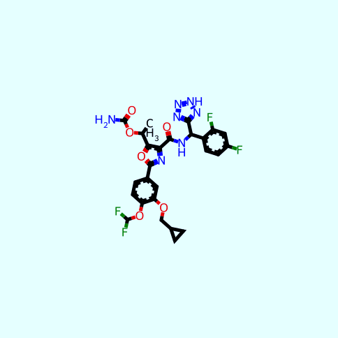 CC(OC(N)=O)c1oc(-c2ccc(OC(F)F)c(OCC3CC3)c2)nc1C(=O)NC(c1nn[nH]n1)c1ccc(F)cc1F